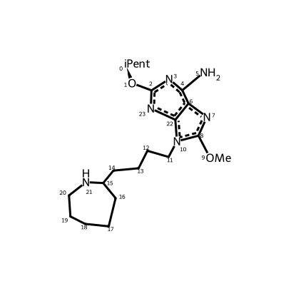 CCC[C@H](C)Oc1nc(N)c2nc(OC)n(CCCCC3CCCCCN3)c2n1